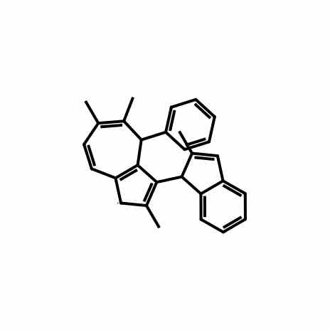 CC1=Cc2ccccc2C1C1=C(C)[CH]C2=C1C(c1ccccc1)C(C)=C(C)C=C2